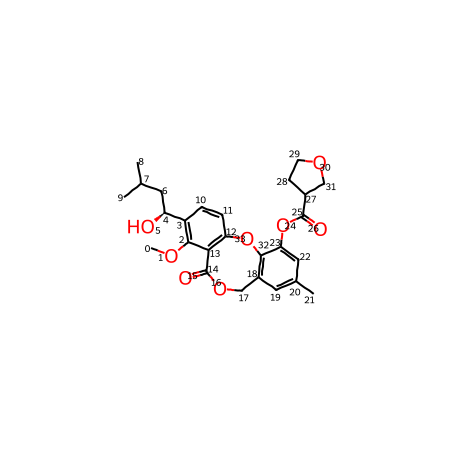 COc1c([C@@H](O)CC(C)C)ccc2c1C(=O)OCc1cc(C)cc(OC(=O)C3CCOC3)c1O2